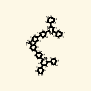 FC1(F)c2ccc(-c3ccc(-c4cc(-c5ccccc5)cc(-c5ccccc5)n4)cc3)cc2-c2cc(-c3ccc(-c4nc(-c5ccccc5)cc(-c5ccccc5)n4)cc3)ccc21